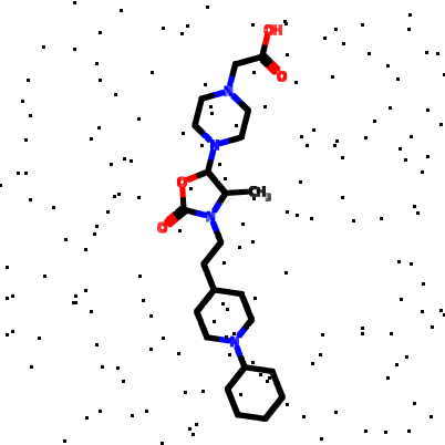 CC1C(N2CCN(CC(=O)O)CC2)OC(=O)N1CCC1CCN(C2CCCCC2)CC1